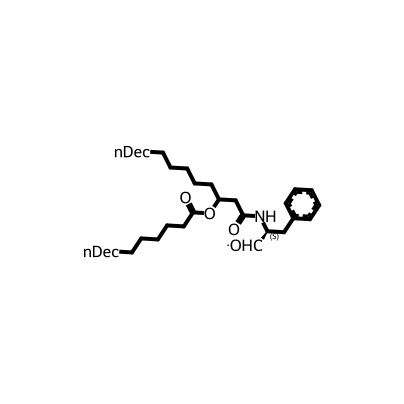 CCCCCCCCCCCCCCCC(=O)OC(CCCCCCCCCCCCCCC)CC(=O)N[C@H]([C]=O)Cc1ccccc1